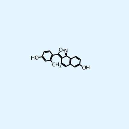 Cc1cc(O)ccc1-c1onc2c1ccc1cc(O)ccc12